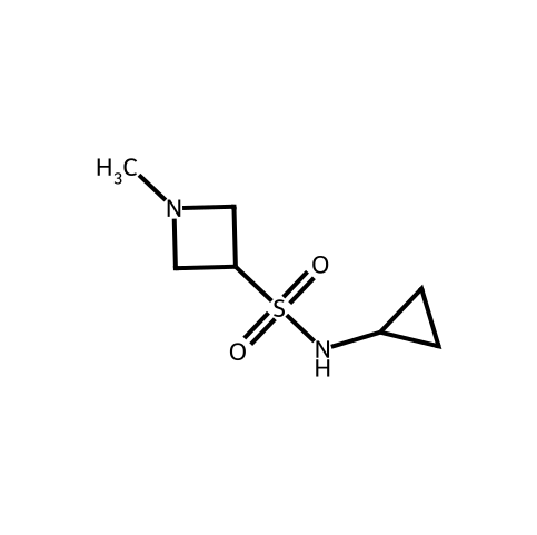 CN1CC(S(=O)(=O)NC2CC2)C1